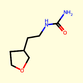 NC(=O)NCCC1CCOC1